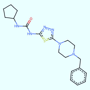 O=C(Nc1nnc(N2CCN(Cc3ccccc3)CC2)s1)NC1CCCC1